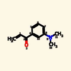 C=CC(=O)c1cccc(N(C)C)c1